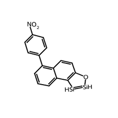 O=[N+]([O-])c1ccc(-c2cccc3c2ccc2o[siH][siH]c23)cc1